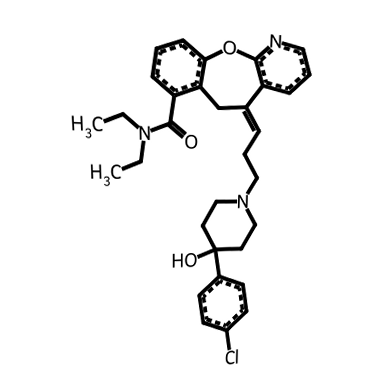 CCN(CC)C(=O)c1cccc2c1CC(=CCCN1CCC(O)(c3ccc(Cl)cc3)CC1)c1cccnc1O2